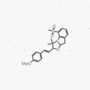 COc1ccc(C=CC2OC3Cc4cccc(S(C)(=O)=O)c4N3C2(C)C)cc1